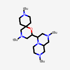 CC(C)(C)N1CCC2(CC1)CN(C(C)(C)C)CC(C1CN(C(C)(C)C)CC3CN(C(C)(C)C)CCN31)O2